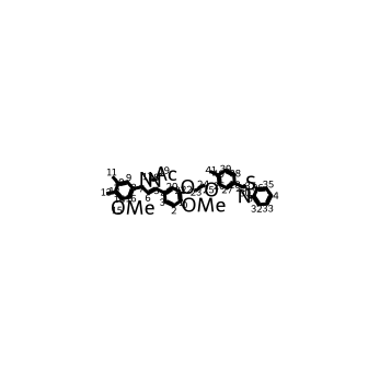 COc1ccc(-c2cc(-c3cc(C)c(C)c(OC)c3)nn2C(C)=O)cc1OCCOc1cc(-c2nc3ccccc3s2)ccc1C